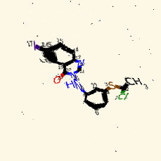 CC(Cl)Sc1cccc(Nn2cnc3ccc(I)cc3c2=O)c1